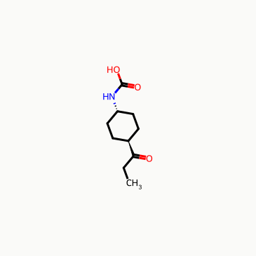 CCC(=O)[C@H]1CC[C@H](NC(=O)O)CC1